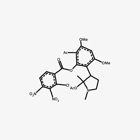 COc1cc(OC)c(C2CCN(C)C2(C)OC(C)=O)c(OC(=O)c2ccc([N+](=O)[O-])c([N+](=O)[O-])c2Cl)c1C(C)=O